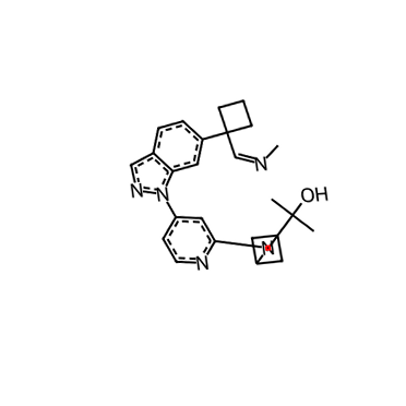 C/N=C\C1(c2ccc3cnn(-c4ccnc(N5CC6(C(C)(C)O)CC5C6)c4)c3c2)CCC1